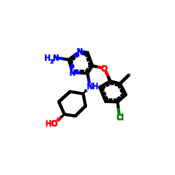 Cc1cc(Cl)ccc1Oc1cnc(N)nc1N[C@H]1CC[C@H](O)CC1